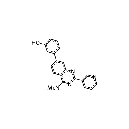 CNc1nc(-c2cccnc2)nc2cc(-c3cccc(O)c3)ccc12